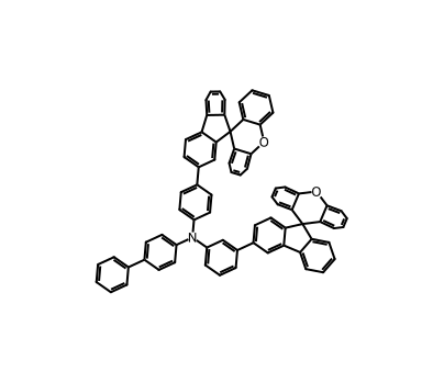 c1ccc(-c2ccc(N(c3ccc(-c4ccc5c(c4)C4(c6ccccc6Oc6ccccc64)c4ccccc4-5)cc3)c3cccc(-c4ccc5c(c4)-c4ccccc4C54c5ccccc5Oc5ccccc54)c3)cc2)cc1